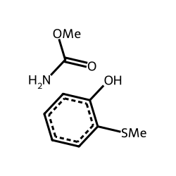 COC(N)=O.CSc1ccccc1O